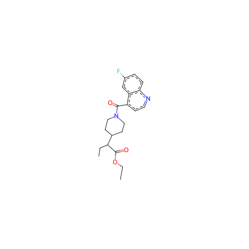 CCOC(=O)C(CC)C1CCN(C(=O)c2ccnc3ccc(F)cc23)CC1